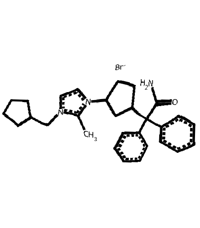 Cc1n(C2CCC(C(C(N)=O)(c3ccccc3)c3ccccc3)C2)cc[n+]1CC1CCCC1.[Br-]